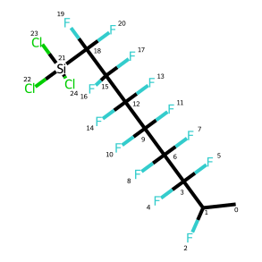 CC(F)C(F)(F)C(F)(F)C(F)(F)C(F)(F)C(F)(F)C(F)(F)[Si](Cl)(Cl)Cl